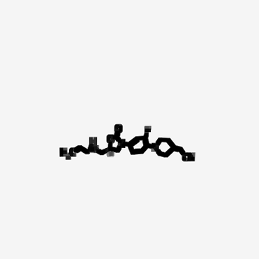 C=CC[AsH]C[C@@H]1CN(c2ccc(N3CCC(=CC#N)CC3)c(F)c2)C(=O)O1